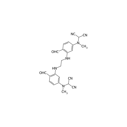 CN(c1ccc(C=O)c(NCCNc2cc(N(C)C(C#N)C#N)ccc2C=O)c1)C(C#N)C#N